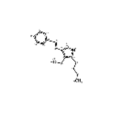 CCCCc1noc(/C=C/c2ccccc2)c1CO